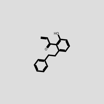 C=CC(=O)c1c(O)cccc1CCc1ccccc1